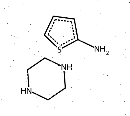 C1CNCCN1.Nc1cccs1